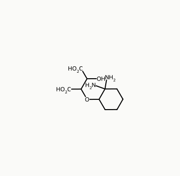 NC1(N)CCCCC1OC(C(=O)O)C(O)C(=O)O